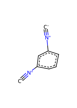 [C-]#[N+]c1cccc([N+]#[C-])c1